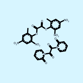 Cc1cc([N+](=O)[O-])cc([N+](=O)[O-])c1OC(=O)C(=O)Oc1c(C)cc([N+](=O)[O-])cc1[N+](=O)[O-].O=C(C(=O)n1ccccc1=O)n1ccccc1=O